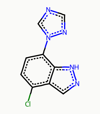 Clc1ccc(-n2cncn2)c2[nH]ncc12